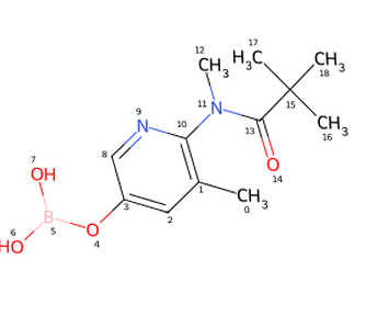 Cc1cc(OB(O)O)cnc1N(C)C(=O)C(C)(C)C